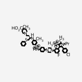 Cc1cc(S(=O)(=O)Nc2ccc(N3CCN(c4cc(F)cc(-c5c(S(C)(=O)=O)c(C)n(C(C)C)c5-c5ccc(Cl)cc5)c4)CC3)cc2)ccc1N[C@H](CCN1CCC(C)(C(=O)O)CC1)CSc1ccccc1